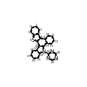 c1ccc2c(c1)sc1c2c2ccccc2c2c1c1ccccc1n2-c1ncncn1